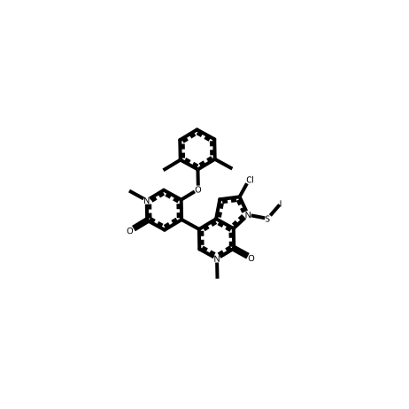 Cc1cccc(C)c1Oc1cn(C)c(=O)cc1-c1cn(C)c(=O)c2c1cc(Cl)n2SI